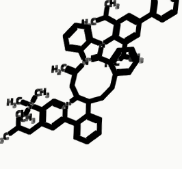 C=C1CC2C(CCc3ccccc3-c3n(-c4c(C(C)C)cc(-c5ccccc5)cc4C(C)C)c4ccccc4[n+]31)c1ccccc1-c1cc(CC(C)C)c([Si](C)(C)C)c[n+]12